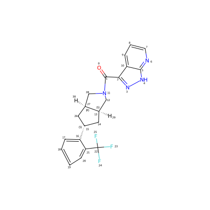 O=C(c1n[nH]c2ncccc12)N1C[C@H]2C[C@H](c3ccccc3C(F)(F)F)C[C@H]2C1